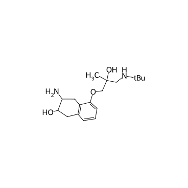 CC(O)(CNC(C)(C)C)COc1cccc2c1CC(N)C(O)C2